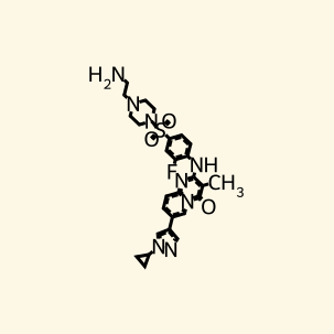 Cc1c(Nc2ccc(S(=O)(=O)N3CCN(CCN)CC3)cc2F)nc2ccc(-c3cnn(C4CC4)c3)cn2c1=O